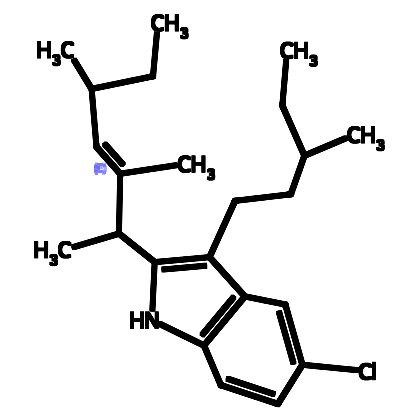 CCC(C)/C=C(\C)C(C)c1[nH]c2ccc(Cl)cc2c1CCC(C)CC